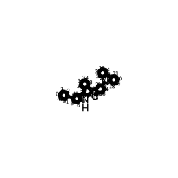 c1ccc(-c2ccc3[nH]c4c5oc6ccc(-n7c8ccccc8c8ccccc87)cc6c5c5ccccc5c4c3c2)cc1